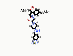 CNC(=O)c1cc(=O)n(CCN2CCC(NCc3ccc4nsnc4c3)CC2)c2cc(OC)ccc12